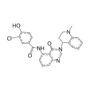 CN1CCC(n2cnc3cccc(NC(=O)c4ccc(O)c(Cl)c4)c3c2=O)c2ccccc21